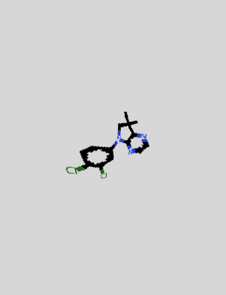 CC1(C)CN(c2ccc(Cl)c(Cl)c2)c2nccnc21